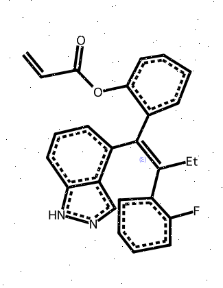 C=CC(=O)Oc1ccccc1/C(=C(\CC)c1ccccc1F)c1cccc2[nH]ncc12